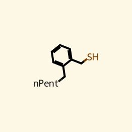 CCCCCCc1ccccc1CS